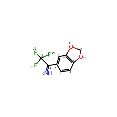 N=C(c1ccc2c(c1)OCO2)C(F)(F)F